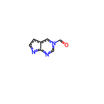 O=Cn1cnc2nccc-2c1